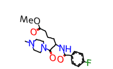 COC(=O)CCCC(NC(=O)c1ccc(F)cc1)C(=O)N1CCN(C)CC1